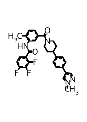 Cc1ccc(C(=O)N2CCC(c3ccc(-c4cnn(C)c4)cc3)CC2)cc1NC(=O)c1ccc(F)c(F)c1F